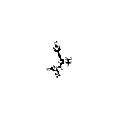 COc1ncc(C#Cc2ccc(C(=O)N[C@H](CC(=O)O)C[N+](C)(C)C)o2)cn1.O=C([O-])C(F)(F)F